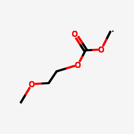 [CH2]OC(=O)OCCOC